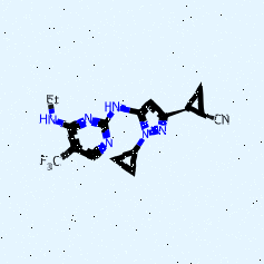 CCNc1nc(Nc2cc([C@H]3C[C@H]3C#N)nn2C2CC2)ncc1C(F)(F)F